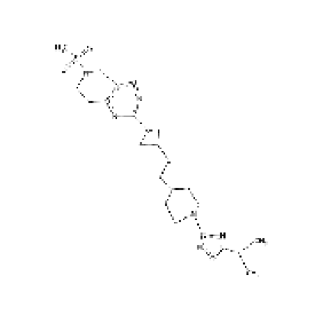 CC(C)c1nc(N2CCC(COC3CN(c4ncc5c(n4)CCN(S(C)(=O)=O)C5)C3)CC2)no1